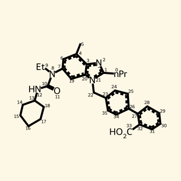 CCCc1nc2c(C)cc(N(CC)C(=O)NC3CCCCC3)cc2n1Cc1ccc(-c2ccccc2C(=O)O)cc1